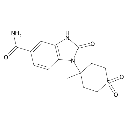 CC1(n2c(=O)[nH]c3cc(C(N)=O)ccc32)CCS(=O)(=O)CC1